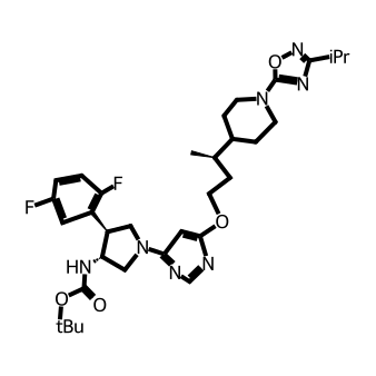 CC(C)c1noc(N2CCC([C@H](C)CCOc3cc(N4C[C@H](NC(=O)OC(C)(C)C)[C@@H](c5cc(F)ccc5F)C4)ncn3)CC2)n1